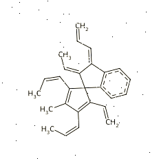 C=C/C=C1\C(=C/C)C2(C(C=C)=C(/C=C\C)C(C)=C2/C=C\C)c2ccccc21